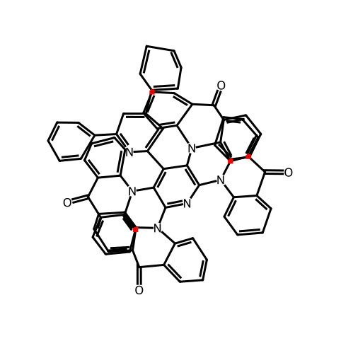 O=c1c2ccccc2n(-c2nc(-n3c4ccccc4c(=O)c4ccccc43)c(-n3c4ccccc4c(=O)c4ccccc43)c(-c3cc(-c4ccccc4)cc(-c4ccccc4)n3)c2-n2c3ccccc3c(=O)c3ccccc32)c2ccccc12